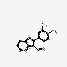 Cc1ccc(-c2[nH]c3ccccc3c2C=O)cc1C